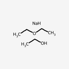 CCO.CCOCC.[NaH]